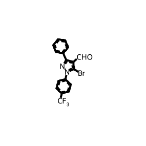 O=Cc1c(-c2ccccc2)nn(-c2ccc(C(F)(F)F)cc2)c1Br